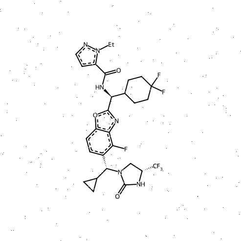 CCn1nccc1C(=O)N[C@H](c1nc2c(F)c([C@@H](C3CC3)N3C[C@H](C(F)(F)F)NC3=O)ccc2o1)C1CCC(F)(F)CC1